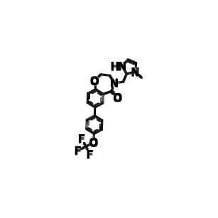 CN1C=CNC1CN1CCOc2ccc(-c3ccc(OC(F)(F)F)cc3)cc2C1=O